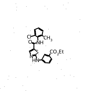 CCOC(=O)c1cccc(Nc2ncc(C(=O)Nc3c(C)cccc3Cl)s2)c1